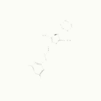 COc1cc(N2CCOCC2)c(OC)cc1CCNCc1cc(C)cc(Cl)c1